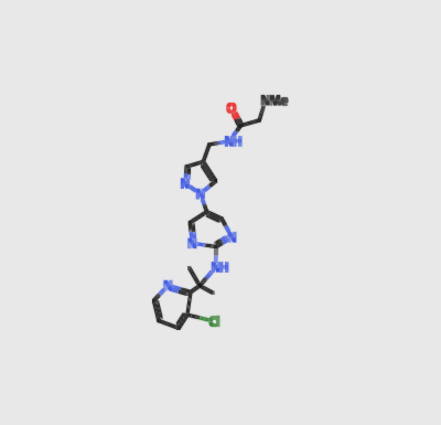 CNCC(=O)NCc1cnn(-c2cnc(NC(C)(C)c3ncccc3Cl)nc2)c1